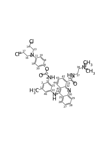 Cc1cc(NC(=O)Oc2ccc(N(CCCl)CCCl)cc2)cc(Nc2c3ccccc3nc3c(C(=O)NCCN(C)C)cccc23)c1